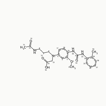 COc1cc(N(CCCNC(C)=O)CC(=O)O)ccc1NC(=O)Nc1ccccc1C